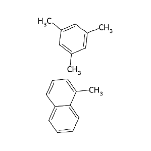 Cc1cc(C)cc(C)c1.Cc1cccc2ccccc12